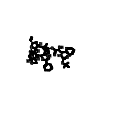 C=C[C@@H]1O[C@@H]2C3=C(C)[C@@H](OC(=O)[C@H](O)[C@@H](NC(=O)OC(C)(C)C)c4ncccn4)C[C@@](O)([C@@H](OC(=O)c4ccccc4)[C@H]4[C@@](C)(CC[C@H]5OC[C@]54OC(C)=O)[C@@H]2O1)C3(C)C